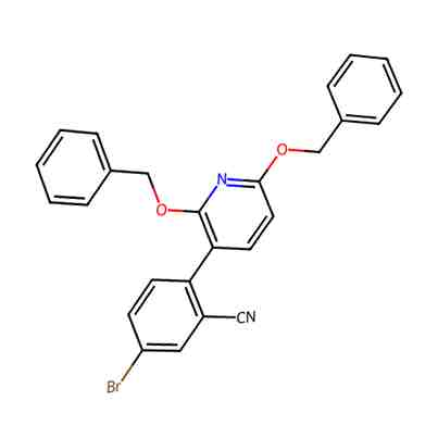 N#Cc1cc(Br)ccc1-c1ccc(OCc2ccccc2)nc1OCc1ccccc1